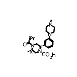 CC(C)C(=O)N1C[C@H](c2cccc(N3CCN(C)CC3)c2)N(C(=O)O)C[C@H]1C